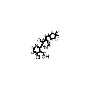 CC1(C)Cc2cc3c(=O)n(-c4nccc(Cl)c4CO)ncn3c2C1